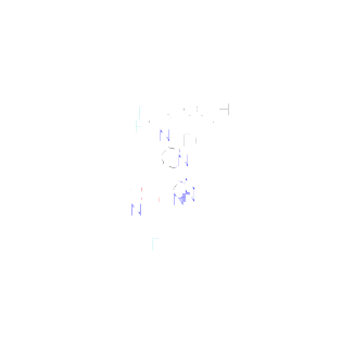 CCc1nc(-c2nnn(C)c2COC(=O)N(C)C2CC(F)C2)ccc1N1C[C@@H](CC(=O)O)CC(F)(F)C1